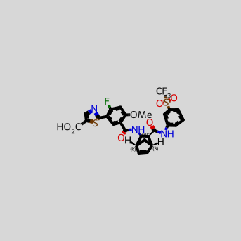 COc1cc(F)c(-c2ncc(C(=O)O)s2)cc1C(=O)N[C@H]1[C@@H](C(=O)Nc2cccc(S(=O)(=O)C(F)(F)F)c2)[C@@H]2C=C[C@H]1C2